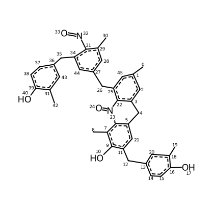 Cc1cc(Cc2cc(C)c(O)c(Cc3ccc(O)c(C)c3)c2)c(N=O)c(Cc2cc(C)c(N=O)c(Cc3ccc(O)c(C)c3)c2)c1